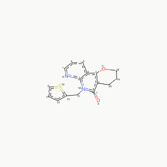 O=c1c2c(c3cccnc3n1Cc1cccs1)OCCC2